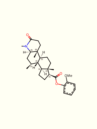 COc1ccccc1OC(=O)[C@H]1CC[C@H]2[C@@H]3[C@@H](C)C[C@H]4N(C)C(=O)CC[C@]4(C)[C@H]3CC[C@]12C